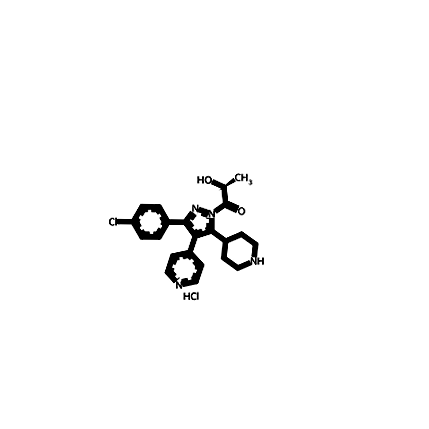 C[C@H](O)C(=O)n1nc(-c2ccc(Cl)cc2)c(-c2ccncc2)c1C1CCNCC1.Cl